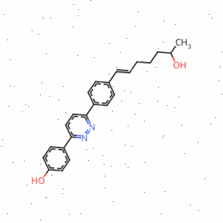 CC(O)CCCC=Cc1ccc(-c2ccc(-c3ccc(O)cc3)nn2)cc1